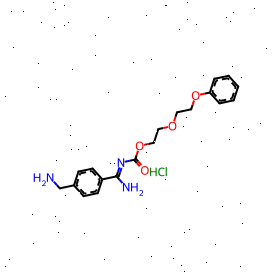 Cl.NCc1ccc(C(N)=NC(=O)OCCOCCOc2ccccc2)cc1